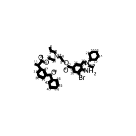 CCC[N+](CCOC(=O)c1cc(Br)c(N)c(CN(CC)C2CCCCC2)c1)CCOC(=O)C(C)c1cccc(C(=O)c2ccccc2)c1